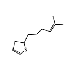 CC(C)=CCCCC1CC=CS1